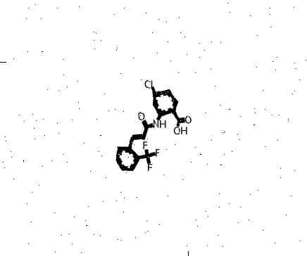 O=C(/C=C/c1ccccc1C(F)(F)F)Nc1cc(Cl)ccc1C(=O)O